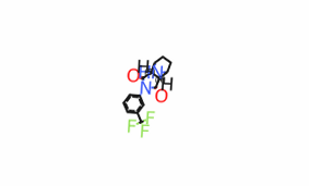 O=C1[C@@H]2C3CCC(N3)[C@@H]2C(=O)N1c1cccc(C(F)(F)F)c1